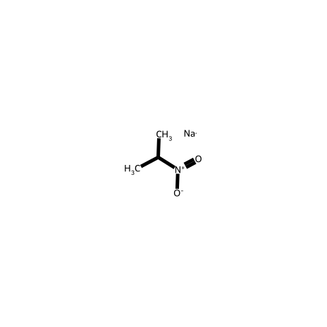 CC(C)[N+](=O)[O-].[Na]